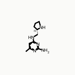 Cc1cc(NC[C@@H]2CCCN2)nc(N)n1